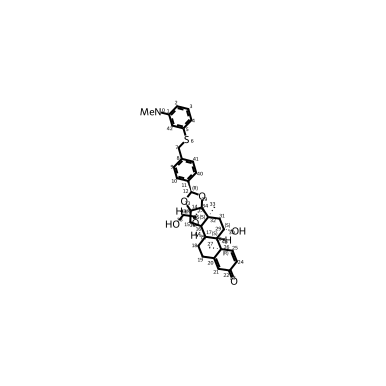 CNc1cccc(SCc2ccc([C@@H]3O[C@@H]4CC5[C@@H]6CCC7=CC(=O)C=C[C@]7(C)[C@H]6[C@@H](O)C[C@]5(C)[C@]4(C(=O)CO)O3)cc2)c1